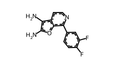 Nc1oc2c(-c3ccc(F)c(F)c3)nccc2c1N